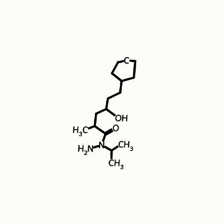 CC(CC(O)CCC1CCCCC1)C(=O)N(N)C(C)C